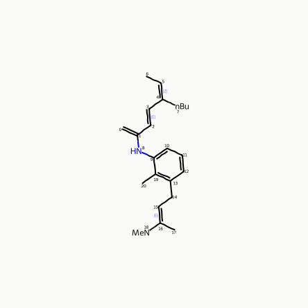 C=C(/C=C/C(=C\C)CCCC)Nc1cccc(C/C=C(\C)NC)c1C